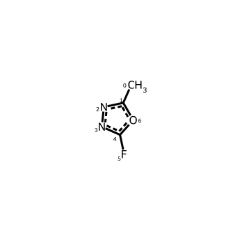 Cc1nnc(F)o1